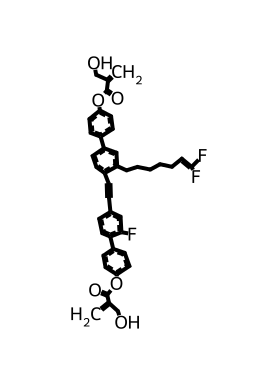 C=C(CO)C(=O)Oc1ccc(-c2ccc(C#Cc3ccc(-c4ccc(OC(=O)C(=C)CO)cc4)c(F)c3)c(CCCCCC=C(F)F)c2)cc1